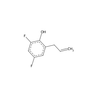 C=CCc1cc(F)cc(F)c1O